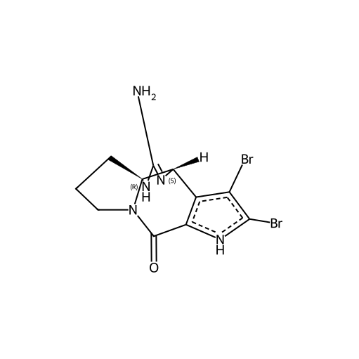 NC1=N[C@H]2c3c([nH]c(Br)c3Br)C(=O)N3CCC[C@]23N1